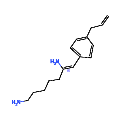 C=CCc1ccc(/C=C(\N)CCCCCN)cc1